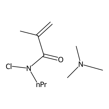 C=C(C)C(=O)N(Cl)CCC.CN(C)C